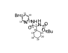 CC(C)(C)OC(=O)NC(C(=O)Nc1ccc(Br)cn1)C1CCCCC1